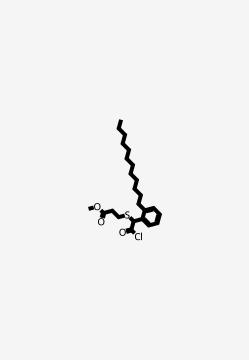 CCCCCCCCCCCCc1ccccc1C(SCCC(=O)OC)C(=O)Cl